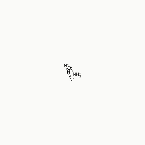 CC[NH3+].[N-]=[N+]=[N-]